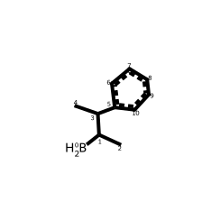 BC(C)C(C)c1ccccc1